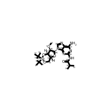 CO[C@@H]1[C@@H]2O[Si](C(C)(C)C)(C(C)(C)C)OC[C@H]2O[C@H]1n1cnc2c(N)nc(NC(=O)C(C)C)nc21